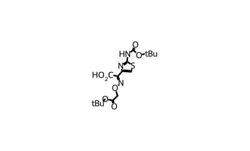 CC(C)(C)OC(=O)CON=C(C(=O)O)c1csc(NC(=O)OC(C)(C)C)n1